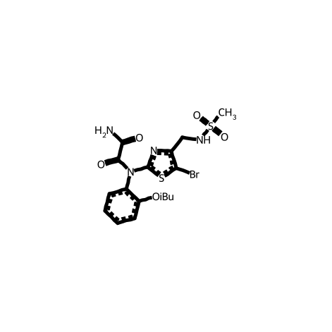 CC(C)COc1ccccc1N(C(=O)C(N)=O)c1nc(CNS(C)(=O)=O)c(Br)s1